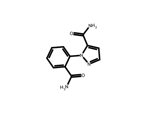 NC(=O)c1ccccc1-n1nccc1C(N)=O